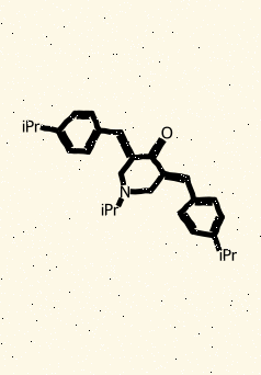 CC(C)c1ccc(C=C2CN(C(C)C)CC(=Cc3ccc(C(C)C)cc3)C2=O)cc1